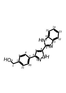 OCc1ccc(-c2cc(-c3nc4ccccc4[nH]3)[nH]n2)cc1